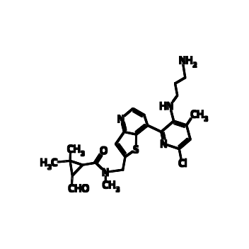 Cc1cc(Cl)nc(-c2ccnc3cc(CN(C)C(=O)C4C(C=O)C4(C)C)sc23)c1NCCCN